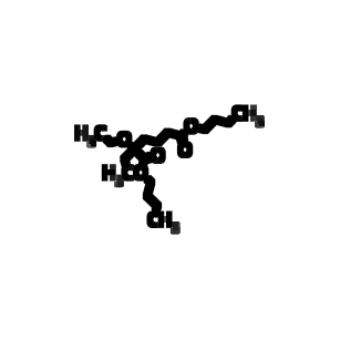 CCCCOC(=O)CCCC(CC)(OCC)C(=O)OCCCC